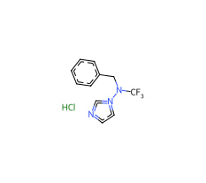 Cl.FC(F)(F)N(Cc1ccccc1)n1ccnc1